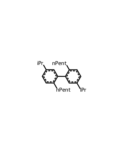 CCCCCc1ccc(C(C)C)cc1-c1cc(C(C)C)ccc1CCCCC